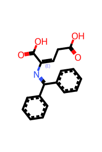 O=C(O)C/C=C(/N=C(c1ccccc1)c1ccccc1)C(=O)O